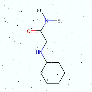 CCN(CC)C(=O)CNC1CCCCC1